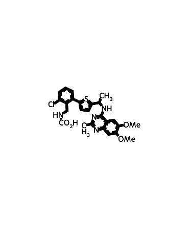 COc1cc2nc(C)nc(NC(C)c3ccc(-c4cccc(Cl)c4CNC(=O)O)s3)c2cc1OC